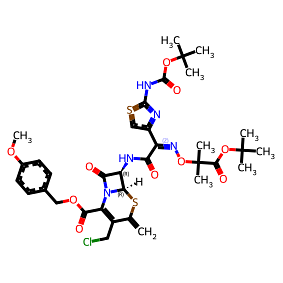 C=C1S[C@@H]2[C@H](NC(=O)/C(=N\OC(C)(C)C(=O)OC(C)(C)C)c3csc(NC(=O)OC(C)(C)C)n3)C(=O)N2C(C(=O)OCc2ccc(OC)cc2)=C1CCl